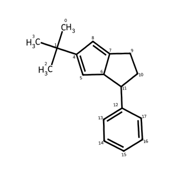 CC(C)(C)C1=CC2C(=C1)CCC2c1ccccc1